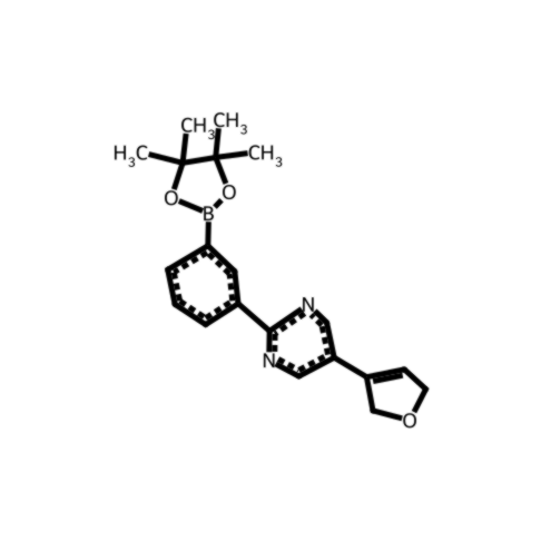 CC1(C)OB(c2cccc(-c3ncc(C4=CCOC4)cn3)c2)OC1(C)C